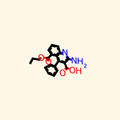 CCCOC(=O)c1cccc2nc(N)c(C(=O)O)c(-c3ccccc3)c12